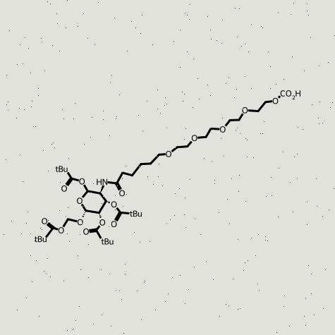 CC(C)(C)C(=O)OCO[C@@H]1OC(OC(=O)C(C)(C)C)[C@@H](NC(=O)CCCCCOCCOCCOCCOCCOC(=O)O)[C@H](OC(=O)C(C)(C)C)[C@@H]1OC(=O)C(C)(C)C